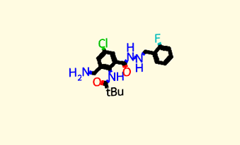 CC(C)(C)C(=O)Nc1c(CN)cc(Cl)cc1C(=O)NNCc1ccccc1F